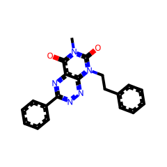 Cn1c(=O)c2nc(-c3ccccc3)nnc2n(CCc2ccccc2)c1=O